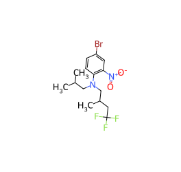 CC(C)CN(CC(C)CC(F)(F)F)c1ccc(Br)cc1[N+](=O)[O-]